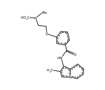 Cc1cn2ccccc2c1NC(=O)c1cccc(OCCN(C(=O)O)C(C)(C)C)c1